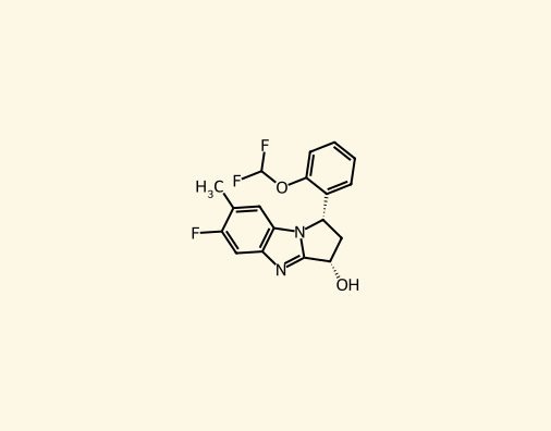 Cc1cc2c(cc1F)nc1n2[C@H](c2ccccc2OC(F)F)C[C@@H]1O